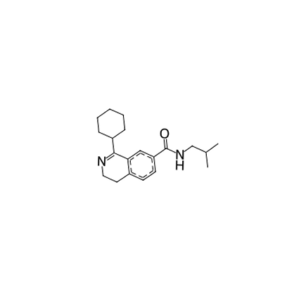 CC(C)CNC(=O)c1ccc2c(c1)C(C1CCCCC1)=NCC2